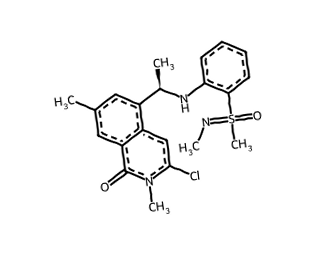 CN=S(C)(=O)c1ccccc1N[C@H](C)c1cc(C)cc2c(=O)n(C)c(Cl)cc12